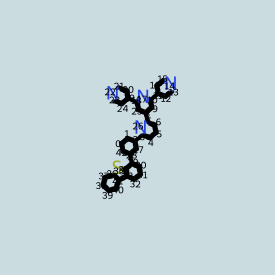 c1cc(-c2cccc(-c3cc(-c4ccncc4)nc(-c4ccncc4)c3)n2)cc(-c2cccc3c2sc2ccccc23)c1